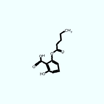 CCCCC(=O)Oc1cccc(O)c1C(=O)O